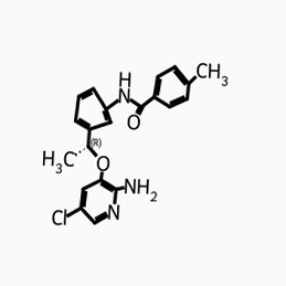 Cc1ccc(C(=O)Nc2cccc([C@@H](C)Oc3cc(Cl)cnc3N)c2)cc1